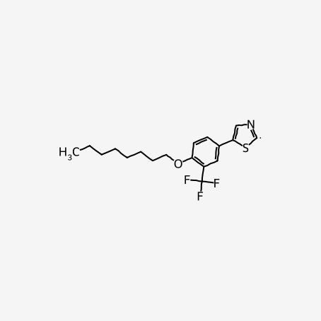 CCCCCCCCOc1ccc(-c2cn[c]s2)cc1C(F)(F)F